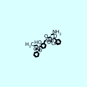 CCCN(c1cccc(CNC(=O)[C@H](CC(N)=O)N(Cc2ccccc2)C(=O)O)c1O)S(=O)(=O)c1ccccc1